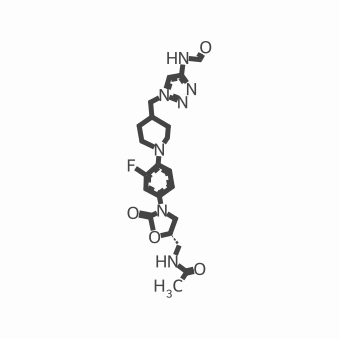 CC(=O)NC[C@H]1CN(c2ccc(N3CCC(Cn4cc(NC=O)nn4)CC3)c(F)c2)C(=O)O1